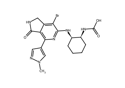 Cn1cc(-c2nc(N[C@@H]3CCCC[C@@H]3NC(=O)O)c(Br)c3c2C(=O)NC3)cn1